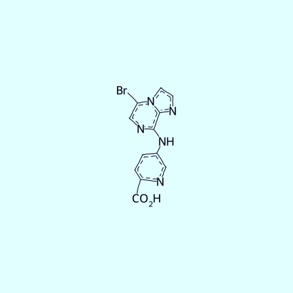 O=C(O)c1ccc(Nc2ncc(Br)n3ccnc23)cn1